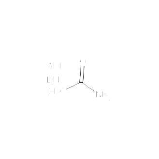 CC(N)=O.[AlH3].[LiH]